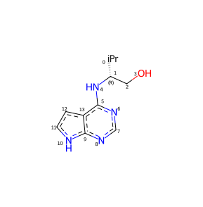 CC(C)[C@H](CO)Nc1ncnc2[nH]ccc12